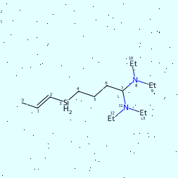 CC=C[SiH2]CCCC(N(CC)CC)N(CC)CC